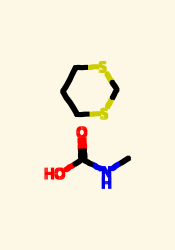 C1CSCSC1.CNC(=O)O